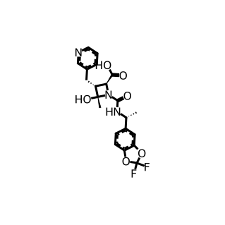 C[C@@H](NC(=O)N1[C@H](C(=O)O)[C@@H](Cc2cccnc2)[C@@]1(C)O)c1ccc2c(c1)OC(F)(F)O2